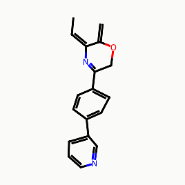 C=C1OCC(c2ccc(-c3cccnc3)cc2)=N/C1=C/C